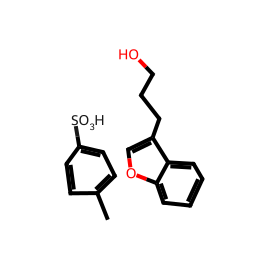 Cc1ccc(S(=O)(=O)O)cc1.OCCCc1coc2ccccc12